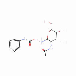 CC(=O)N[C@H]1C(NOC(=O)Nc2ccccc2)O[C@H](CO)[C@@H](O)[C@@H]1O